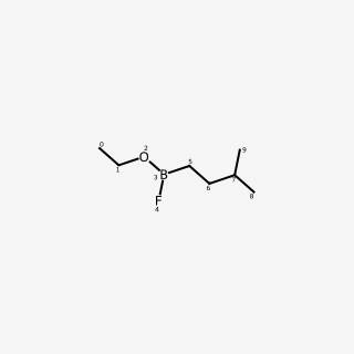 CCOB(F)CCC(C)C